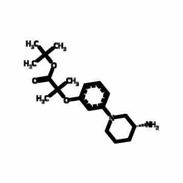 CC(C)(C)OC(=O)C(C)(C)Oc1cccc(N2CCC[C@@H](N)C2)c1